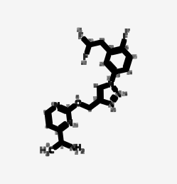 CC(N)c1ccnc(OCc2cn(-c3ccc(F)c(CC(F)F)c3)nn2)n1